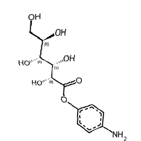 Nc1ccc(OC(=O)[C@H](O)[C@@H](O)[C@H](O)[C@H](O)CO)cc1